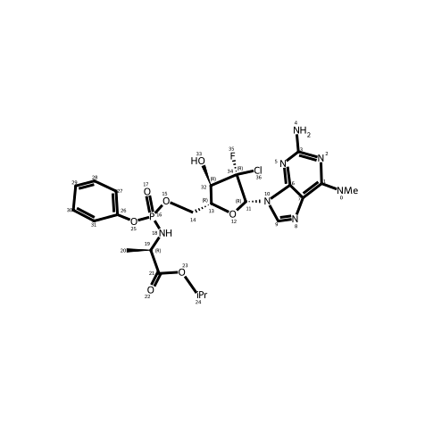 CNc1nc(N)nc2c1ncn2[C@@H]1O[C@H](COP(=O)(N[C@H](C)C(=O)OC(C)C)Oc2ccccc2)[C@@H](O)[C@@]1(F)Cl